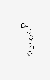 Cc1ccc(C(=O)N2CCC(c3ccc(NC(=O)[C@H]4CCN(c5cccnn5)C4)cc3)CC2)cc1F